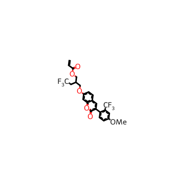 C=CC(=O)OCC(COc1ccc2cc(-c3ccc(OC)cc3C(F)(F)F)c(=O)oc2c1)CC(F)(F)F